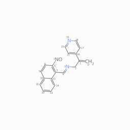 C=C(C/N=C/c1c(N=O)ccc2ccccc12)c1ccncc1